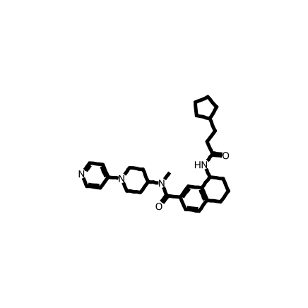 CN(C(=O)c1ccc2c(c1)C(NC(=O)CCC1CCCC1)CCC2)C1CCN(c2ccncc2)CC1